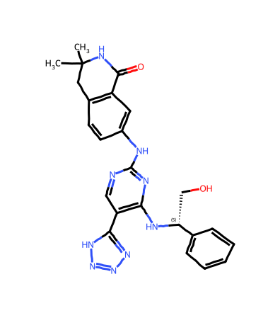 CC1(C)Cc2ccc(Nc3ncc(-c4nnn[nH]4)c(N[C@H](CO)c4ccccc4)n3)cc2C(=O)N1